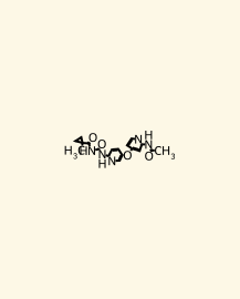 CC(=O)Nc1cc(Oc2ccc(NC(=O)NC(=O)C3(C)CC3)nc2)ccn1